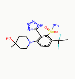 CC1(O)CCN(c2ccc(C(C)(F)F)c(S(N)(=O)=O)c2-c2nnn[nH]2)CC1